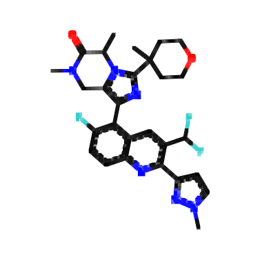 CC1C(=O)N(C)Cc2c(-c3c(F)ccc4nc(-c5ccn(C)n5)c(C(F)F)cc34)nc(C3(C)CCOCC3)n21